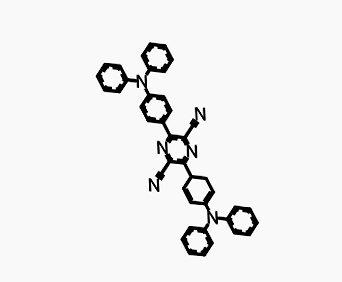 N#Cc1nc(C2C=CC(N(c3ccccc3)c3ccccc3)=CC2)c(C#N)nc1-c1ccc(N(c2ccccc2)c2ccccc2)cc1